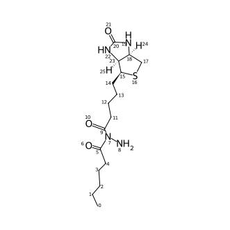 CCCCCC(=O)N(N)C(=O)CCCC[C@@H]1SC[C@@H]2NC(=O)N[C@@H]21